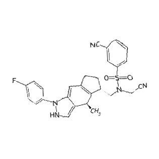 C[C@H]1C2=CNN(c3ccc(F)cc3)C2=CC2=C1[C@@H](CN(CC#N)S(=O)(=O)c1cccc(C#N)c1)CC2